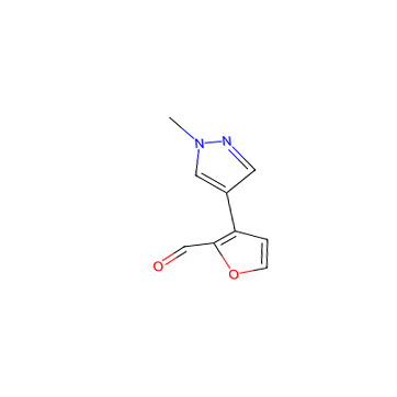 Cn1cc(-c2ccoc2C=O)cn1